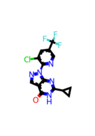 O=c1[nH]c(C2CC2)nc2c1cnn2-c1ncc(C(F)(F)F)cc1Cl